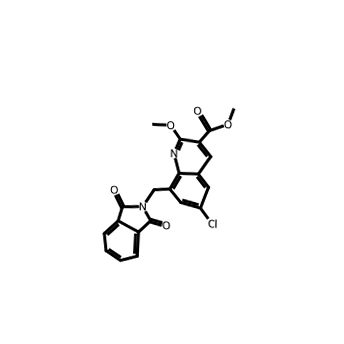 COC(=O)c1cc2cc(Cl)cc(CN3C(=O)c4ccccc4C3=O)c2nc1OC